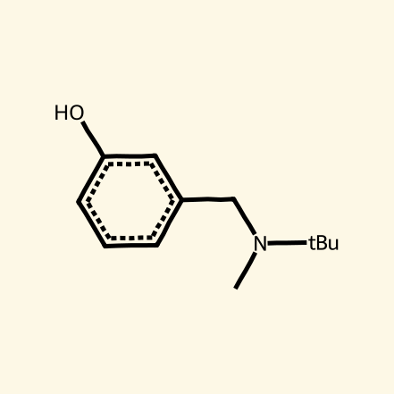 CN(Cc1cccc(O)c1)C(C)(C)C